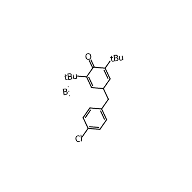 CC(C)(C)C1=CC(Cc2ccc(Cl)cc2)C=C(C(C)(C)C)C1=O.[B]